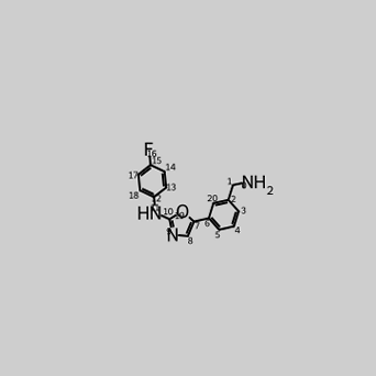 NCc1cccc(-c2cnc(Nc3ccc(F)cc3)o2)c1